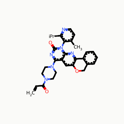 C=CC(=O)N1CCN(c2nc(=O)n(-c3c(C)ccnc3C(C)C)c3nc4c(cc23)OCc2ccccc2-4)CC1